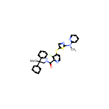 COC(CNC(=O)c1nccc(Sc2cnc(N(C)c3ccccn3)s2)c1F)(c1ccccc1)c1ccccc1